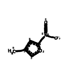 Cc1coc([N+](=O)[O-])c1